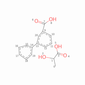 CC(O)C(=O)O.O=C(O)c1cccc(-c2ccccc2)c1